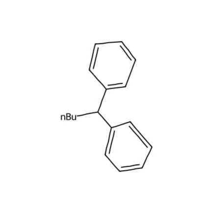 CC[CH]CC(c1ccccc1)c1ccccc1